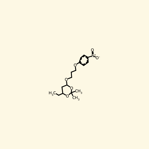 CCC1CC(OCCCOc2ccc([N+](=O)[O-])cc2)OC(C)(C)O1